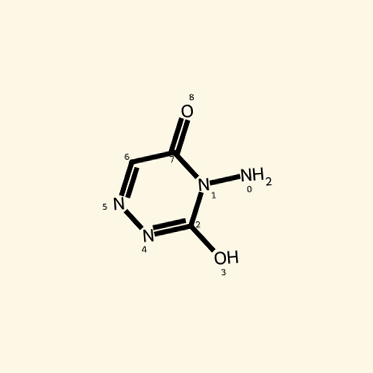 Nn1c(O)nncc1=O